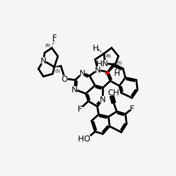 C#Cc1c(F)ccc2cc(O)cc(-c3nc(-c4cccc5ccccc45)c4c(N5C[C@H]6CC[C@@H](C5)N6)nc(OC[C@@]56CCCN5C[C@H](F)C6)nc4c3F)c12